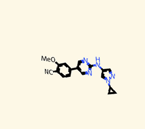 COc1cc(-c2cnc(Nc3cnn(C4CC4)c3)nc2)ccc1C#N